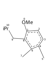 COc1ccc(C)c(C)c1CC(C)C